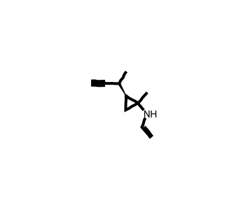 C#CC(C)[C@@H]1CC1(C)NC=C